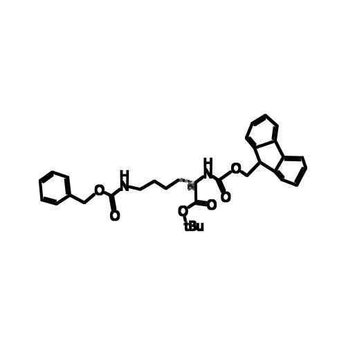 CC(C)(C)OC(=O)[C@H](CCCCNC(=O)OCc1ccccc1)NC(=O)OCC1c2ccccc2-c2ccccc21